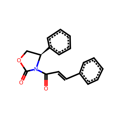 O=C(C=Cc1ccccc1)N1C(=O)OC[C@H]1c1ccccc1